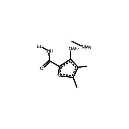 CCNC(=O)c1sc(C)c(C)c1OC.CNC